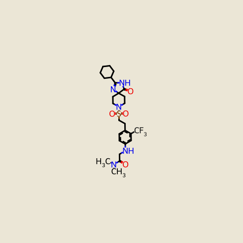 CN(C)C(=O)CNc1ccc(CCS(=O)(=O)N2CCC3(CC2)N=C(C2CCCCC2)NC3=O)c(C(F)(F)F)c1